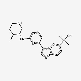 CC(C)(O)c1ccc2ncc(-c3cncc(N[C@H]4CNCC[C@@H]4F)n3)n2c1